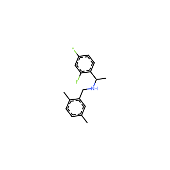 Cc1ccc(C)c(CNC(C)c2ccc(F)cc2F)c1